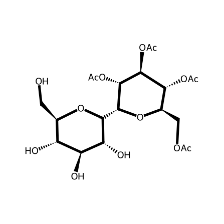 CC(=O)OC[C@H]1O[C@H]([C]2O[C@H](CO)[C@@H](O)[C@H](O)[C@H]2O)[C@H](OC(C)=O)[C@@H](OC(C)=O)[C@@H]1OC(C)=O